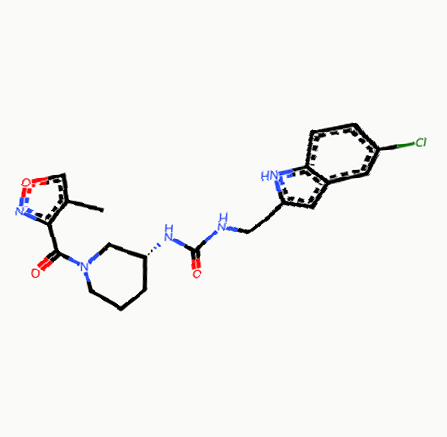 Cc1conc1C(=O)N1CCC[C@@H](NC(=O)NCc2cc3cc(Cl)ccc3[nH]2)C1